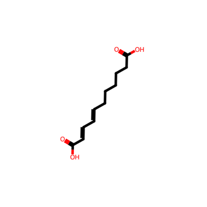 O=C(O)C=CC=CCCCCCC(=O)O